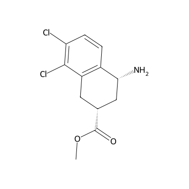 COC(=O)[C@@H]1Cc2c(ccc(Cl)c2Cl)[C@H](N)C1